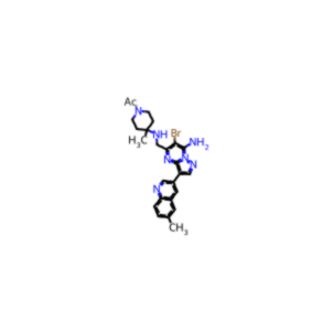 CC(=O)N1CCC(C)(NCc2nc3c(-c4cnc5ccc(C)cc5c4)cnn3c(N)c2Br)CC1